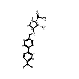 CC(C)c1ccc(-c2ccc(CO[C@H]3CN[C@@H](C(=O)O)[C@@H]3O)cc2)cc1